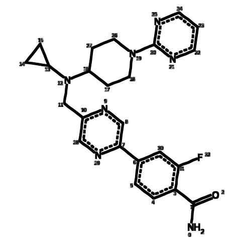 NC(=O)c1ccc(-c2cnc(CN(C3CC3)C3CCN(c4ncccn4)CC3)cn2)cc1F